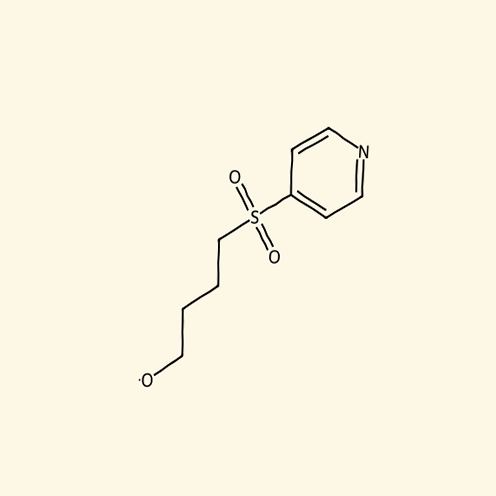 [O]CCCCS(=O)(=O)c1ccncc1